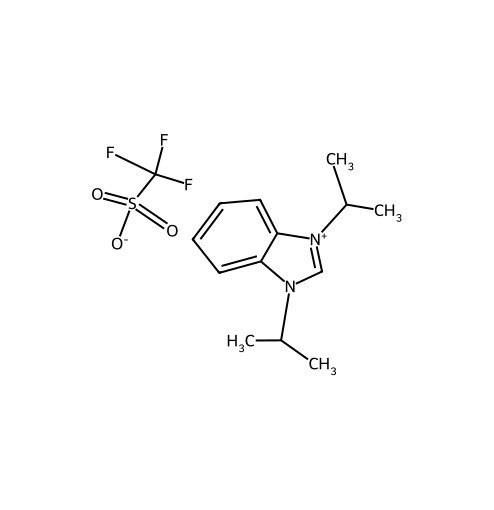 CC(C)n1c[n+](C(C)C)c2ccccc21.O=S(=O)([O-])C(F)(F)F